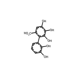 O=C(O)c1cc(O)c(O)c(O)c1-c1cccc(O)c1O